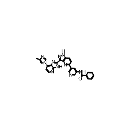 Cc1cn(-c2ccnc3[nH]c(-c4n[nH]c5ccc(-c6cncc(NC(=O)c7ccccc7)c6)nc45)nc23)cn1